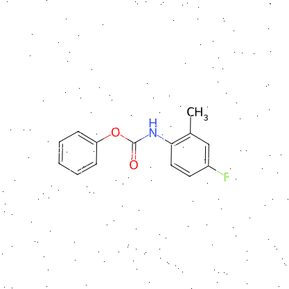 Cc1cc(F)ccc1NC(=O)Oc1ccccc1